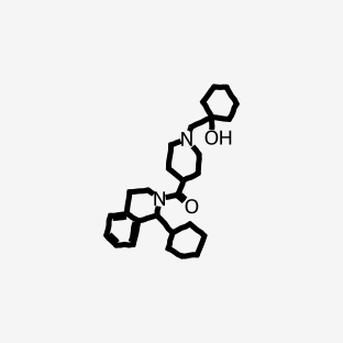 O=C(C1CCN(CC2(O)CCCCC2)CC1)N1CCc2ccccc2C1C1CCCCC1